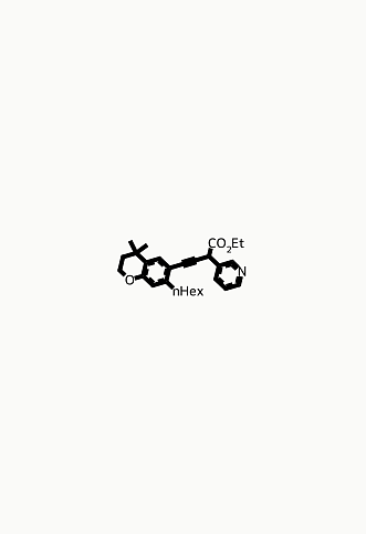 CCCCCCc1cc2c(cc1C#CC(C(=O)OCC)c1cccnc1)C(C)(C)CCO2